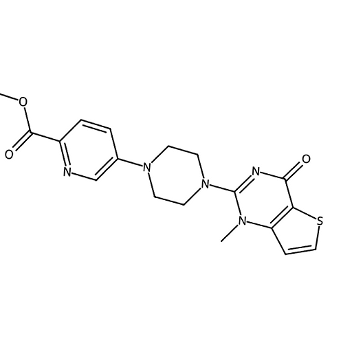 COC(=O)c1ccc(N2CCN(c3nc(=O)c4sccc4n3C)CC2)cn1